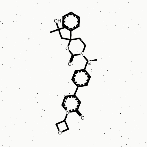 C[C@@H](c1ccc(-c2ccn(C3COC3)c(=O)c2)cc1)N1CCC(CC(C)(C)O)(c2ccccc2)OC1=O